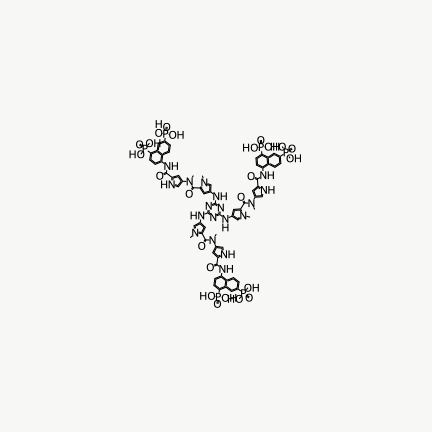 CN(C(=O)c1cc(Nc2nc(Nc3cc(C(=O)N(C)c4c[nH]c(C(=O)Nc5ccc(P(=O)(O)O)c6cc(P(=O)(O)O)ccc56)c4)n(C)c3)nc(Nc3cc(C(=O)N(C)c4c[nH]c(C(=O)Nc5ccc(P(=O)(O)O)c6cc(P(=O)(O)O)ccc56)c4)n(C)c3)n2)cn1C)c1c[nH]c(C(=O)Nc2ccc(P(=O)(O)O)c3cc(P(=O)(O)O)ccc23)c1